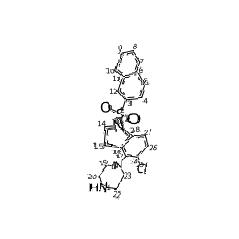 O=S(=O)(c1ccc2ccccc2c1)n1ccc2c(N3CCNCC3)c(Cl)ccc21